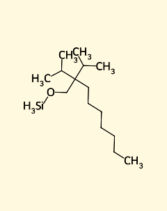 CCCCCCCC(CO[SiH3])(C(C)C)C(C)C